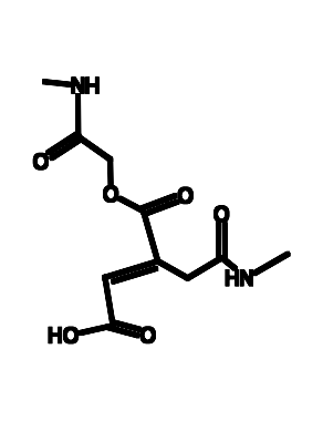 CNC(=O)COC(=O)C(=CC(=O)O)CC(=O)NC